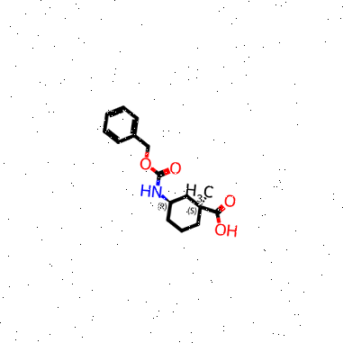 C[C@]1(C(=O)O)CCC[C@@H](NC(=O)OCc2ccccc2)C1